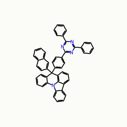 c1ccc(-c2nc(-c3ccccc3)nc(-c3ccc(C4(c5ccc6ccccc6c5)c5ccccc5-n5c6ccccc6c6cccc4c65)cc3)n2)cc1